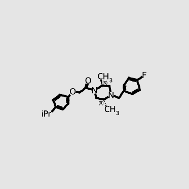 CC(C)c1ccc(OCC(=O)N2C[C@@H](C)N(Cc3ccc(F)cc3)C[C@@H]2C)cc1